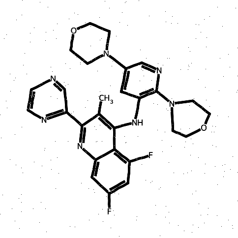 Cc1c(-c2cnccn2)nc2cc(F)cc(F)c2c1Nc1cc(N2CCOCC2)cnc1N1CCOCC1